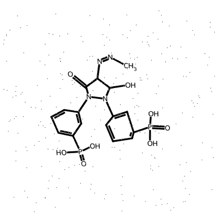 C/N=N\C1C(=O)N(c2cccc(P(=O)(O)O)c2)N(c2cccc(P(=O)(O)O)c2)C1O